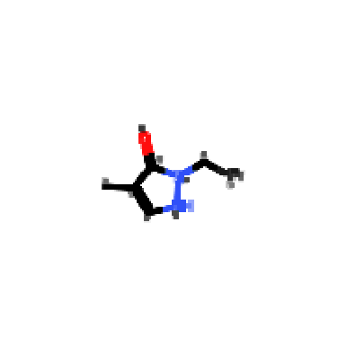 Cc1c[nH]n(CC(C)C)c1=O